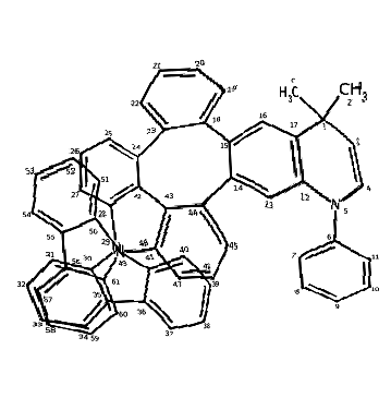 CC1(C)C=CN(c2ccccc2)c2cc3c(cc21)-c1ccccc1-c1cccc(-n2c4ccccc4c4ccccc42)c1-c1c-3cccc1-n1c2ccccc2c2ccccc21